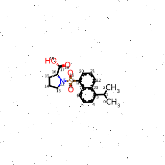 CC(C)c1cccc2c(S(=O)(=O)N3CCCC3C(=O)O)cccc12